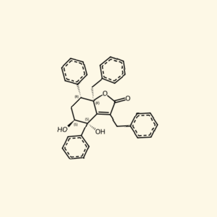 O=C1O[C@@]2(Cc3ccccc3)C(=C1Cc1ccccc1)[C@@](O)(c1ccccc1)[C@@H](O)C[C@@H]2c1ccccc1